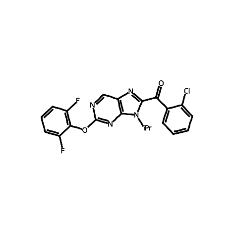 CC(C)n1c(C(=O)c2ccccc2Cl)nc2cnc(Oc3c(F)cccc3F)nc21